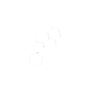 [CH2]CC1OC2(CCCCC2)OC1c1ccccc1Cl